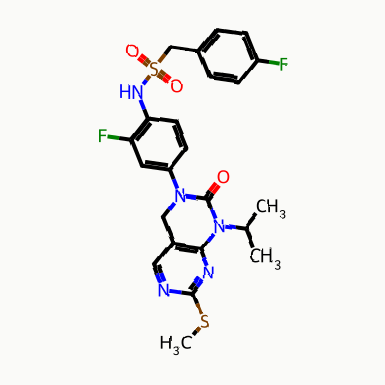 CSc1ncc2c(n1)N(C(C)C)C(=O)N(c1ccc(NS(=O)(=O)Cc3ccc(F)cc3)c(F)c1)C2